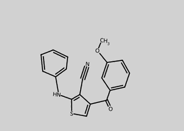 COc1cccc(C(=O)c2csc(Nc3ccccc3)c2C#N)c1